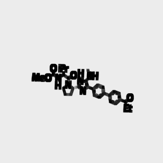 CBc1[nH]c([C@@H]2CCCN2C(=O)[C@@H](NC(=O)OC)C(C)C)nc1-c1ccc(-c2ccc(C(=O)CC)cc2)cc1